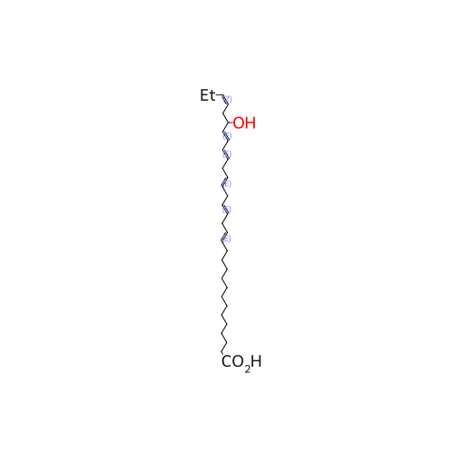 CC/C=C\CC(O)/C=C/C=C/C/C=C/C/C=C/C/C=C/CCCCCCCCCCCCC(=O)O